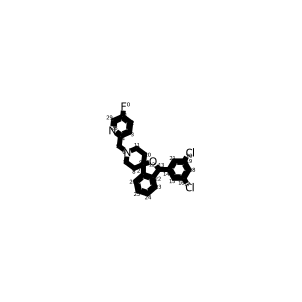 Fc1ccc(CN2CCC3(CC2)OC(c2cc(Cl)cc(Cl)c2)c2ccccc23)nc1